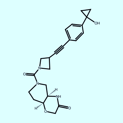 O=C1CO[C@H]2CCN(C(=O)N3CC(C#Cc4ccc(C5(O)CC5)cc4)C3)C[C@H]2N1